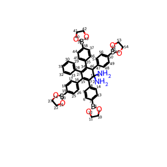 NC1(N)C(c2ccc(B3OCCO3)cc2)=C(c2ccc(B3OCCO3)cc2)C(c2ccccc2)=C(c2ccc(B3OCCO3)cc2)C1c1ccc(B2OCCO2)cc1